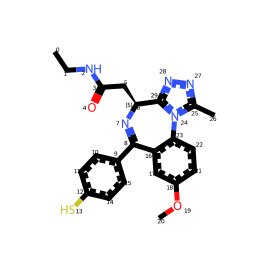 CCNC(=O)C[C@@H]1N=C(c2ccc(S)cc2)c2cc(OC)ccc2-n2c(C)nnc21